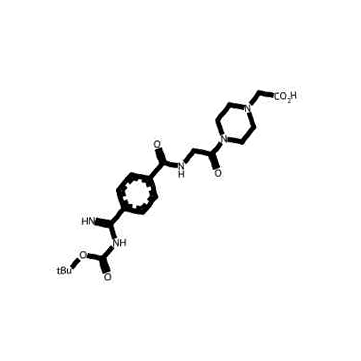 CC(C)(C)OC(=O)NC(=N)c1ccc(C(=O)NCC(=O)N2CCN(CC(=O)O)CC2)cc1